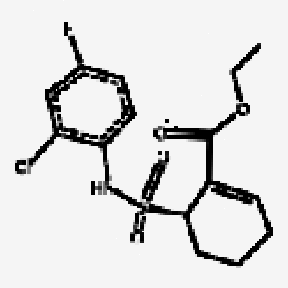 CCOC(=O)C1=CCCC[C@H]1S(=O)(=O)Nc1ccc(F)cc1Cl